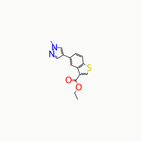 CCOC(=O)c1csc2ccc(-c3cnn(C)c3)cc12